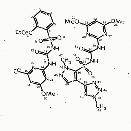 CCOC(=O)c1ccccc1S(=O)(=O)NC(=O)Nc1nc(Cl)cc(OC)n1.COc1cc(OC)nc(NC(=O)NS(=O)(=O)c2c(-c3nnn(C)n3)cnn2C)n1